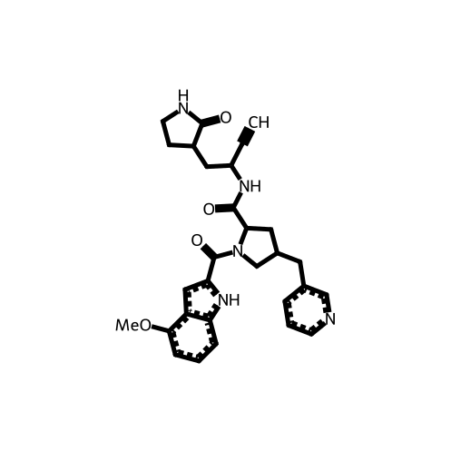 C#CC(CC1CCNC1=O)NC(=O)C1CC(Cc2cccnc2)CN1C(=O)c1cc2c(OC)cccc2[nH]1